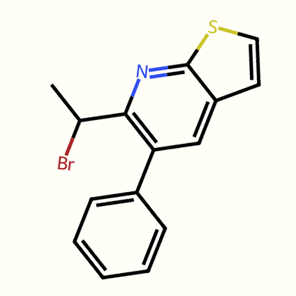 CC(Br)c1nc2sccc2cc1-c1ccccc1